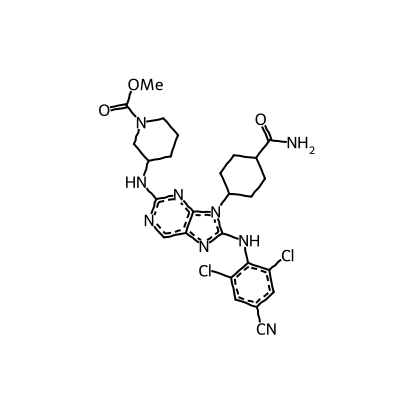 COC(=O)N1CCCC(Nc2ncc3nc(Nc4c(Cl)cc(C#N)cc4Cl)n(C4CCC(C(N)=O)CC4)c3n2)C1